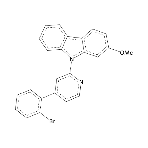 COc1ccc2c3ccccc3n(-c3cc(-c4ccccc4Br)ccn3)c2c1